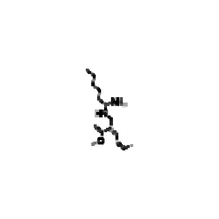 C=C(OC)/C(=C\C=C/C)CNC(N)CCCCC